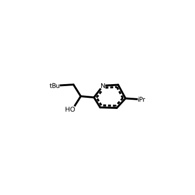 CC(C)c1ccc(C(O)CC(C)(C)C)nc1